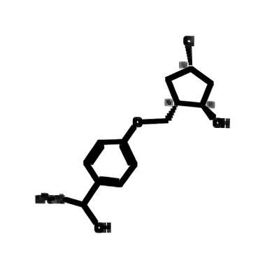 CCCCCC(O)c1ccc(OC[C@@H]2C[C@H](Cl)C[C@H]2O)cc1